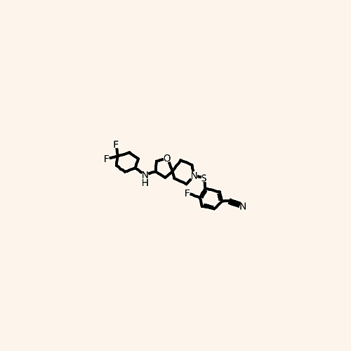 N#Cc1ccc(F)c(SN2CCC3(CC2)CC(NC2CCC(F)(F)CC2)CO3)c1